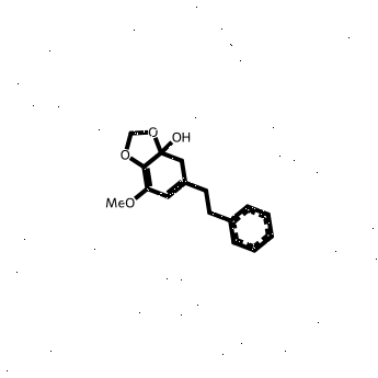 COC1=C2OCOC2(O)CC(CCc2ccccc2)=C1